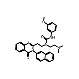 COc1cccc(NC(=O)N(CCc2nc3ccccc3c(=O)n2-c2ccc3ccccc3c2)CCN(C)C)c1